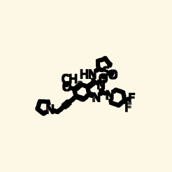 COc1cc2c(NC3CCCS3(=O)=O)nc(N3CCC(F)(F)CC3)nc2cc1C#CCN1CCCC1